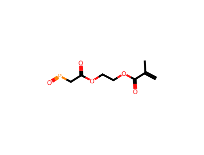 C=C(C)C(=O)OCCOC(=O)CP=O